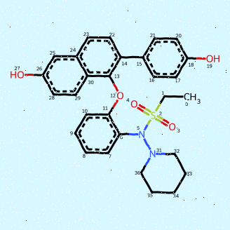 CCS(=O)(=O)N(c1ccccc1Oc1c(-c2ccc(O)cc2)ccc2cc(O)ccc12)N1CCCCC1